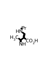 CC(=N)/C(=C\NC(C)C)C(=O)O